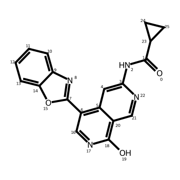 O=C(Nc1cc2c(-c3nc4ccccc4o3)cnc(O)c2cn1)C1CC1